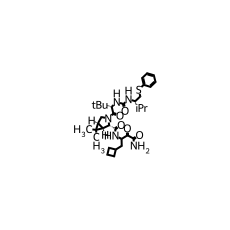 CC(C)[C@@H](CSc1ccccc1)NC(=O)N[C@H](C(=O)N1C[C@H]2[C@@H]([C@H]1C(=O)NC(CC1CCC1)C(=O)C(N)=O)C2(C)C)C(C)(C)C